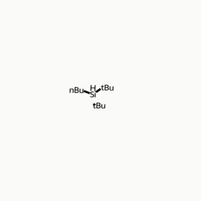 CCCC[SiH](C(C)(C)C)C(C)(C)C